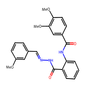 COc1cccc(C=NNC(=O)c2ccccc2NC(=O)c2ccc(OC)c(OC)c2)c1